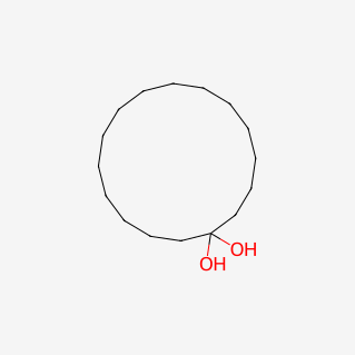 OC1(O)CCCCCCCCCCCCCCC1